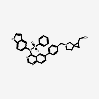 O=S(=O)(c1ccccc1)N(c1ccc2[nH]ccc2c1)c1ncnc2ccc(-c3ccc(CN4CCC5(CC5CO)C4)cc3)cc12